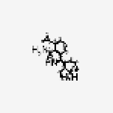 N=C(c1cncc(C2CC2)c1C(N)=O)c1ccnc2[nH]ccc12